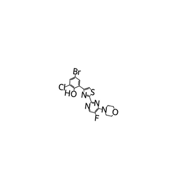 Oc1c(Cl)cc(Br)cc1-c1csc(-c2ncc(F)c(N3CCOCC3)n2)n1